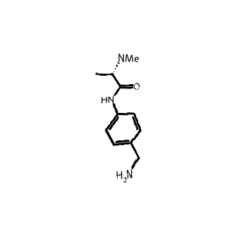 CN[C@@H](C)C(=O)Nc1ccc(CN)cc1